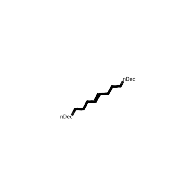 [CH2]CCCCCCCCCCCCC=CCCCCCCCCCCCC[CH2]